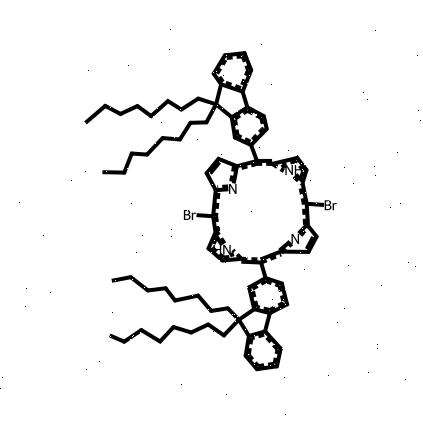 CCCCCCCCC1(CCCCCCCC)c2ccccc2-c2ccc(-c3c4nc(c(Br)c5ccc([nH]5)c(-c5ccc6c(c5)C(CCCCCCCC)(CCCCCCCC)c5ccccc5-6)c5nc(c(Br)c6ccc3[nH]6)C=C5)C=C4)cc21